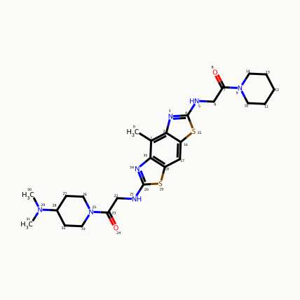 Cc1c2nc(NCC(=O)N3CCCCC3)sc2cc2sc(NCC(=O)N3CCC(N(C)C)CC3)nc12